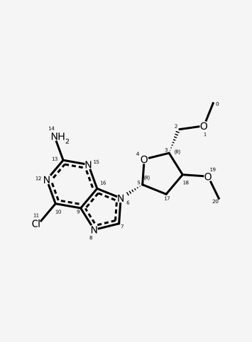 COC[C@H]1O[C@@H](n2cnc3c(Cl)nc(N)nc32)CC1OC